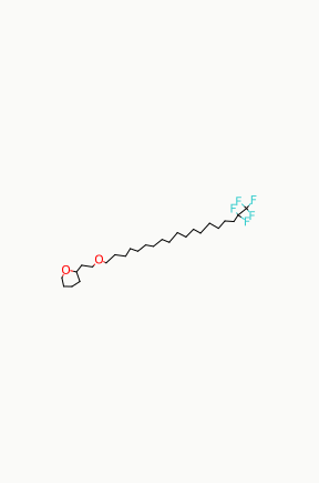 FC(F)(F)C(F)(F)CCCCCCCCCCCCCCCCCOCCC1CCCCO1